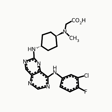 CN(CC(=O)O)[C@H]1CC[C@H](Nc2ncc3ncnc(Nc4ccc(F)c(Cl)c4)c3n2)CC1